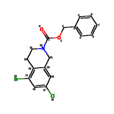 O=C(OCc1ccccc1)N1CCc2c(Br)cc(Cl)cc2C1